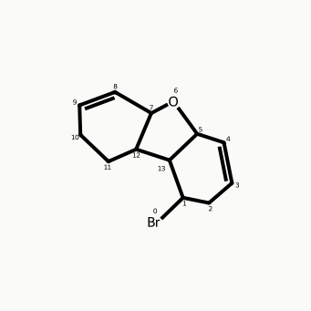 BrC1CC=CC2OC3C=CCCC3C12